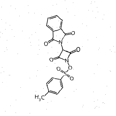 Cc1ccc(S(=O)(=O)ON2C(=O)C(N3C(=O)c4ccccc4C3=O)C2=O)cc1